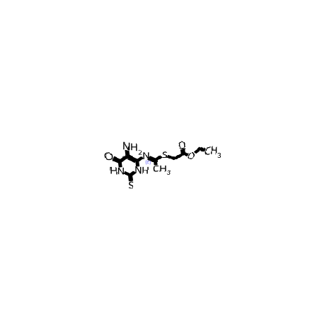 CCOC(=O)CS/C(C)=N/c1[nH]c(=S)[nH]c(=O)c1N